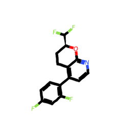 Fc1ccc(-c2ccnc3c2CC[C@@H](C(F)F)O3)c(F)c1